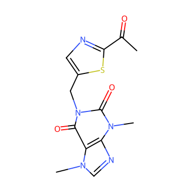 CC(=O)c1ncc(Cn2c(=O)c3c(ncn3C)n(C)c2=O)s1